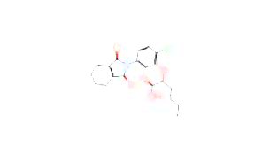 CCCCC(Oc1cc(N2C(=O)C3=C(CCCC3)C2=O)ccc1Cl)C(=O)O